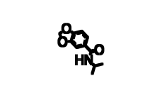 CC(C)NC(=O)c1ccc2c(c1)OCO2